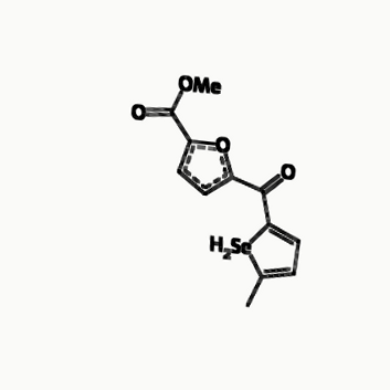 COC(=O)c1ccc(C(=O)C2=CC=C(C)[SeH2]2)o1